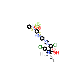 Cc1c(C(=O)O)c(-c2cc(Cl)cc(N3CCN(c4ccc(NSC5C=C(S(=O)(=O)C(F)(F)F)C(NSc6ccccc6)CC5)cc4)CC3)c2)c(-c2ccc(Cl)cc2)n1C